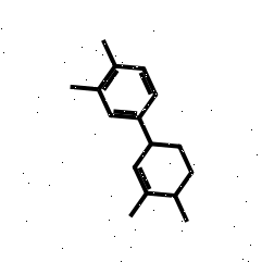 CC1=CC(c2ccc(C)c(C)c2)CCC1C